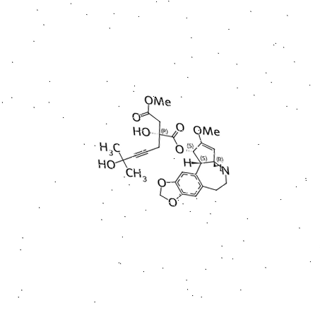 COC(=O)C[C@](O)(CC#CC(C)(C)O)C(=O)O[C@@H]1C(OC)=C[C@]23CCCN2CCc2cc4c(cc2[C@H]13)OCO4